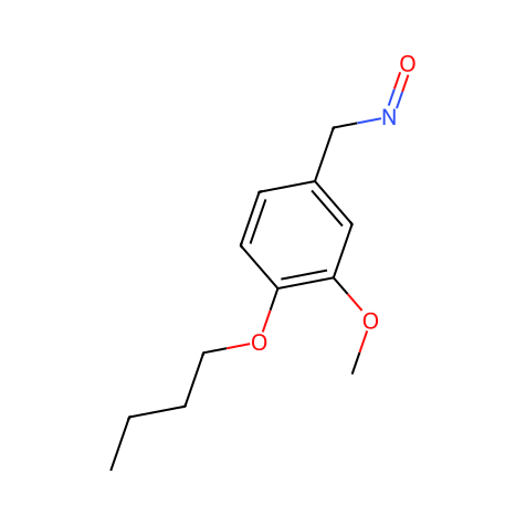 CCCCOc1ccc(CN=O)cc1OC